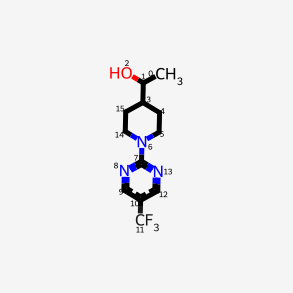 CC(O)C1CCN(c2ncc(C(F)(F)F)cn2)CC1